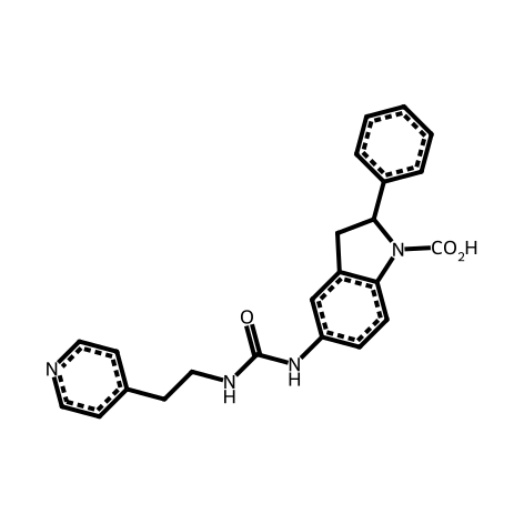 O=C(NCCc1ccncc1)Nc1ccc2c(c1)CC(c1ccccc1)N2C(=O)O